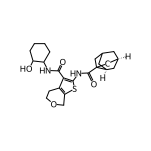 O=C(NC1CCCCC1O)c1c(NC(=O)C23CC4C[C@@H](C[C@@H]2C4)C3)sc2c1CCOC2